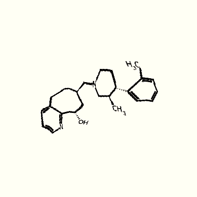 Cc1ccccc1[C@H]1CCN(C[C@@H]2CCc3cccnc3[C@@H](O)C2)C[C@@H]1C